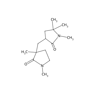 CN1CCC(C)(CC2CC(C)(C)N(C)C2=O)C1=O